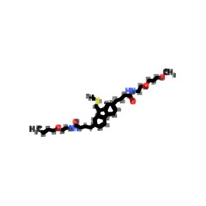 [2H]SCC1c2cc(CCCC(=O)NCCOCCCC)ccc2-c2ccc(CCCC(=O)NCCOCCCOC)cc21